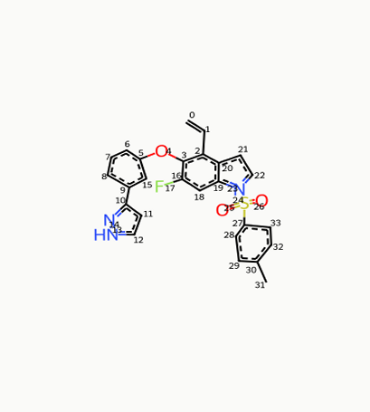 C=Cc1c(Oc2cccc(-c3cc[nH]n3)c2)c(F)cc2c1ccn2S(=O)(=O)c1ccc(C)cc1